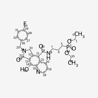 CCOP(=O)(CCCNC(=O)c1c2c(c(O)c3ncccc13)C(=O)N(Cc1ccc(F)cc1)C2)OCC